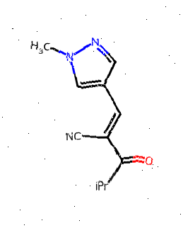 CC(C)C(=O)/C(C#N)=C/c1cnn(C)c1